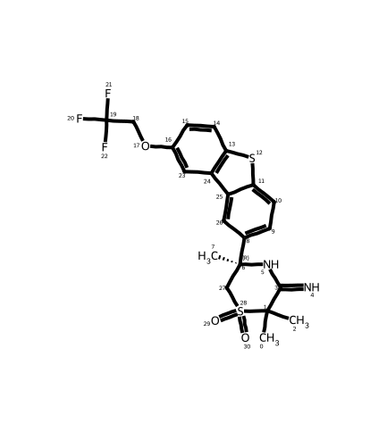 CC1(C)C(=N)N[C@](C)(c2ccc3sc4ccc(OCC(F)(F)F)cc4c3c2)CS1(=O)=O